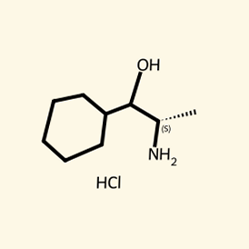 C[C@H](N)C(O)C1CCCCC1.Cl